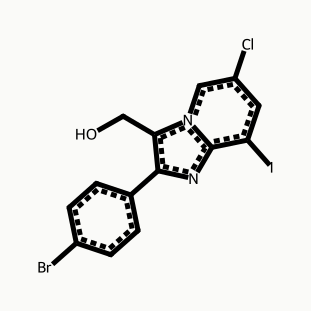 OCc1c(-c2ccc(Br)cc2)nc2c(I)cc(Cl)cn12